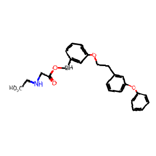 O=C(O)CNCC(=O)OBc1cccc(OCCc2cccc(Oc3ccccc3)c2)c1